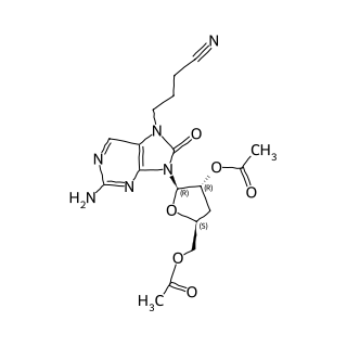 CC(=O)OC[C@@H]1C[C@@H](OC(C)=O)[C@H](n2c(=O)n(CCCC#N)c3cnc(N)nc32)O1